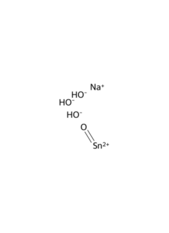 [Na+].[OH-].[OH-].[OH-].[O]=[Sn+2]